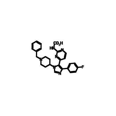 O=C(O)Nc1nccc(-c2c(-c3ccc(F)cc3)ncn2C2CCN(Cc3ccccc3)CC2)n1